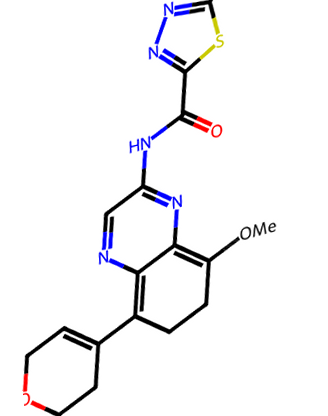 COC1=c2nc(NC(=O)c3nnc(C)s3)cnc2=C(C2=CCOCC2)CC1